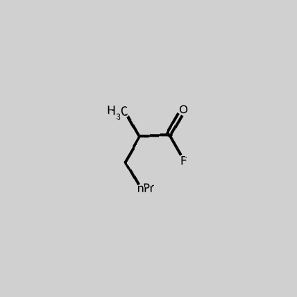 CCCCC(C)C(=O)F